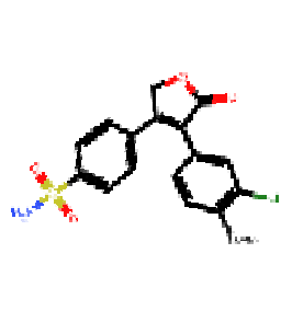 COc1ccc(C2=C(c3ccc(S(N)(=O)=O)cc3)COC2=O)cc1Cl